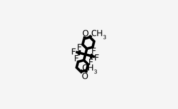 CC12CCC(C(C3CCC4(C)OC4C3)(C(F)(F)F)C(F)(F)F)CC1O2